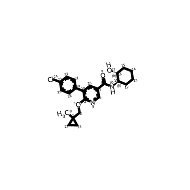 CC1(COc2ncc(C(=O)N[C@@H]3CCCC[C@H]3O)cc2-c2ccc(Cl)cc2)CC1